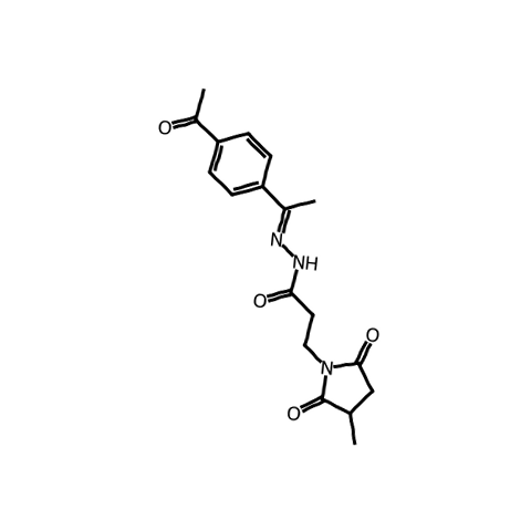 CC(=O)c1ccc(/C(C)=N/NC(=O)CCN2C(=O)CC(C)C2=O)cc1